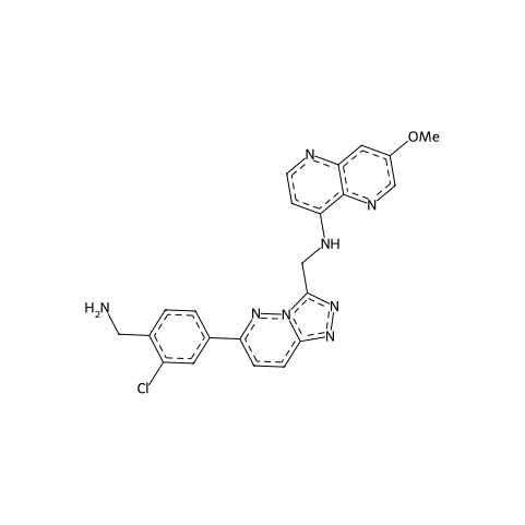 COc1cnc2c(NCc3nnc4ccc(-c5ccc(CN)c(Cl)c5)nn34)ccnc2c1